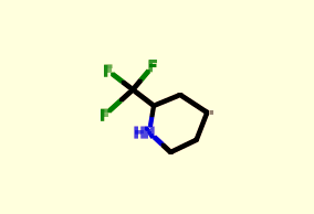 FC(F)(F)C1C[CH]CCN1